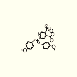 COC(=O)c1cc(N(Cc2ccc(OC)cc2)Cc2ccc(OC)cc2)ncc1[N+](=O)[O-]